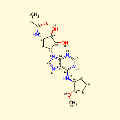 CCC(=O)N[C@H]1C[C@@H](n2cnc3c(N[C@H]4CCCC4OC)ncnc32)[C@H](O)[C@@H]1O